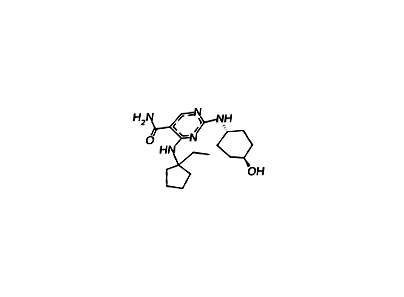 CCC1(Nc2nc(N[C@H]3CC[C@H](O)CC3)ncc2C(N)=O)CCCC1